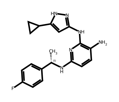 C[C@H](Nc1ccc(N)c(Nc2cc(C3CC3)[nH]n2)n1)c1ccc(F)cc1